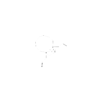 C=CCC12CCCCCCCC(CC=C)(CC1)N2